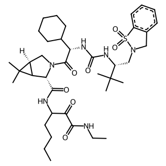 CCCCC(NC(=O)[C@@H]1C2[C@H](CN1C(=O)[C@@H](NC(=O)N[C@H](CN1Cc3ccccc3S1(=O)=O)C(C)(C)C)C1CCCCC1)C2(C)C)C(=O)C(=O)NCC